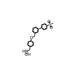 CS(=O)(=O)c1ccc(-c2cccc(COc3ccc(CNO)cc3)c2)cc1